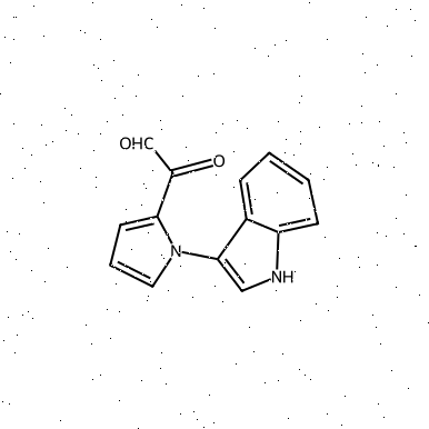 O=CC(=O)c1cccn1-c1c[nH]c2ccccc12